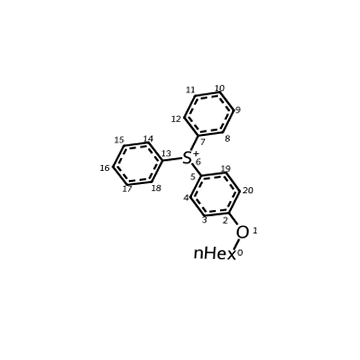 CCCCCCOc1ccc([S+](c2ccccc2)c2ccccc2)cc1